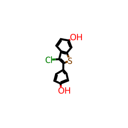 Oc1ccc(-c2sc3cc(O)ccc3c2Cl)cc1